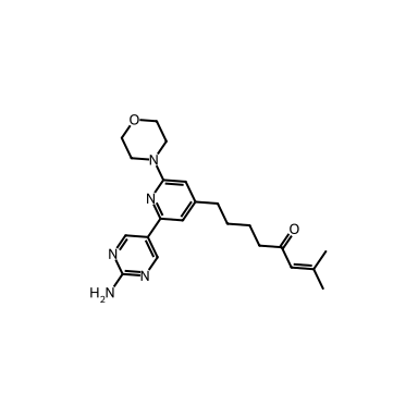 CC(C)=CC(=O)CCCCc1cc(-c2cnc(N)nc2)nc(N2CCOCC2)c1